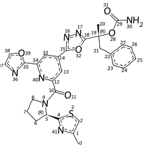 Cc1csc([C@H]2CCCN2C(=O)c2cc(-c3nnc([C@@](C)(Cc4ccccc4)OC(N)=O)o3)cc(-c3ncco3)n2)n1